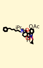 CC(=O)Oc1ccc2c3c1O[C@H]1[C@@H](N(CCCCCCc4ccccc4)CC(C)C)CC[C@@]4(O)[C@@H](C2)N(CC2CC2)CC[C@]314